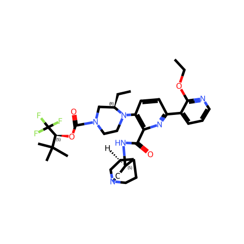 CCOc1ncccc1-c1ccc(N2CCN(C(=O)O[C@@H](C(C)(C)C)C(F)(F)F)C[C@H]2CC)c(C(=O)N[C@@H]2CN3CCC2CC3)n1